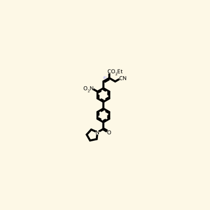 CCOC(=O)/C(=C/c1ccc(-c2ccc(C(=O)N3CCCC3)cc2)cc1[N+](=O)[O-])CC#N